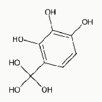 Oc1ccc(C(O)(O)O)c(O)c1O